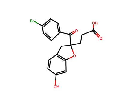 O=C(O)CCC1(C(=O)c2ccc(Br)cc2)Cc2ccc(O)cc2O1